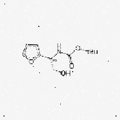 CC(C)(C)OC(=O)N[C@H](CO)c1ccco1